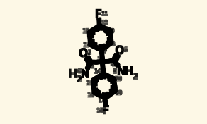 NC(=O)C(C(N)=O)(c1ccc(F)cc1)c1ccc(F)cc1